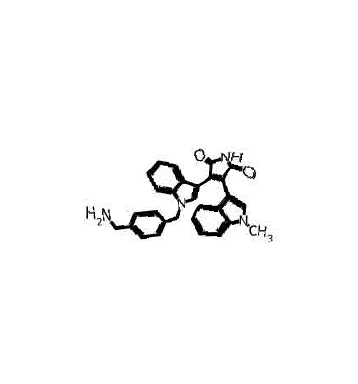 Cn1cc(C2=C(c3cn(Cc4ccc(CN)cc4)c4ccccc34)C(=O)NC2=O)c2ccccc21